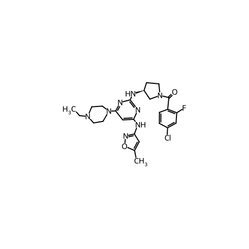 CCN1CCN(c2cc(Nc3cc(C)on3)nc(N[C@H]3CCN(C(=O)c4ccc(Cl)cc4F)C3)n2)CC1